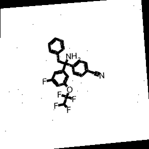 N#Cc1ccc(C(N)(Cc2ccccc2)c2cc(F)cc(OC(F)(F)C(F)F)c2)cc1